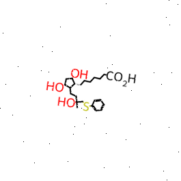 CC(O)(CCC1[C@H](O)C[C@H](O)[C@@H]1CCCCCCC(=O)O)CSc1ccccc1